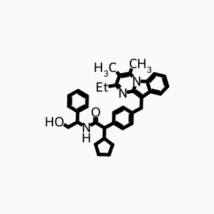 CCc1nc2c(Cc3ccc(C(C(=O)NC(CO)c4ccccc4)C4CCCC4)cc3)c3ccccc3n2c(C)c1C